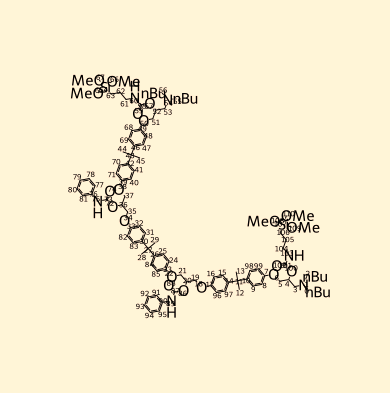 CCCCN(CCCC)CC(COc1ccc(C(C)(C)c2ccc(OCC(COc3ccc(C(C)(C)c4ccc(OCC(COc5ccc(C(C)(C)c6ccc(OCC(CN(CCCC)CCCC)OC(=O)NCCC[Si](OC)(OC)OC)cc6)cc5)OC(=O)Nc5ccccc5)cc4)cc3)OC(=O)Nc3ccccc3)cc2)cc1)OC(=O)NCCC[Si](OC)(OC)OC